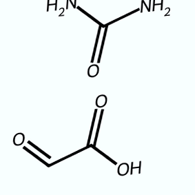 NC(N)=O.O=CC(=O)O